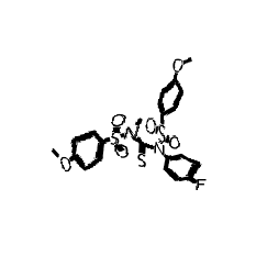 COc1ccc(S(=O)(=O)N(C)C(=S)N(c2ccc(F)cc2)S(=O)(=O)c2ccc(OC)cc2)cc1